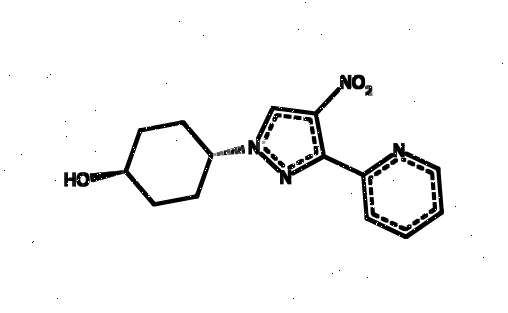 O=[N+]([O-])c1cn([C@H]2CC[C@H](O)CC2)nc1-c1ccccn1